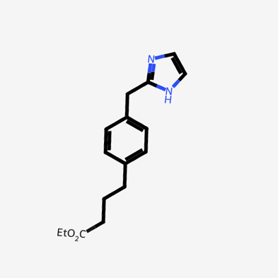 CCOC(=O)CCCc1ccc(Cc2ncc[nH]2)cc1